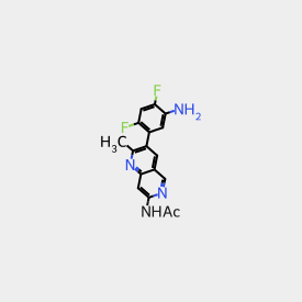 CC(=O)Nc1cc2nc(C)c(-c3cc(N)c(F)cc3F)cc2cn1